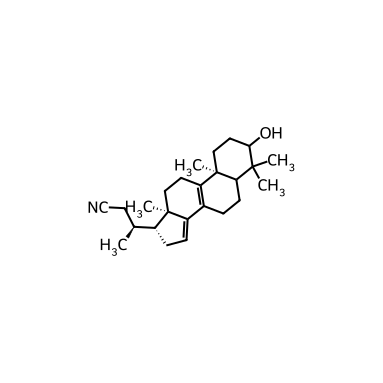 C[C@@H](CC#N)[C@H]1CC=C2C3=C(CC[C@@]21C)[C@@]1(C)CCC(O)C(C)(C)C1CC3